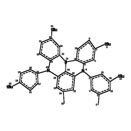 Cc1cc(N2c3cc(C(C)(C)C)ccc3B3c4cc(C(C)(C)C)ccc4N(c4ccc(C(C)(C)C)cc4)c4cc(C)cc2c43)cc(C(C)(C)C)c1